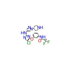 O=C(Nc1cccc(Oc2nc(Nc3cnn(C4CCNCC4)c3)ncc2Cl)c1)C1CC1(F)F